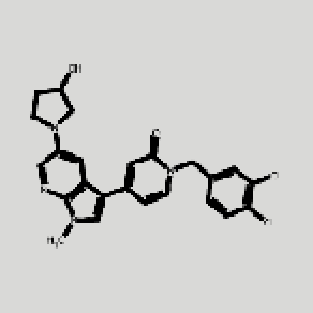 Cn1cc(-c2ccn(Cc3ccc(Cl)c(Cl)c3)c(=O)c2)c2cc(N3CCC(O)C3)cnc21